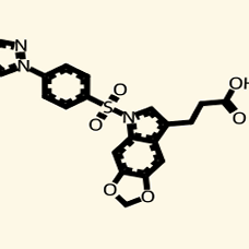 O=C(O)CCc1cn(S(=O)(=O)c2ccc(-n3cccn3)cc2)c2cc3c(cc12)OCO3